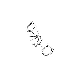 [CH3][Pt]([CH3])([CH3])([CH3])([CH2][SiH2]c1ccccc1)[C]1=CC=CC1